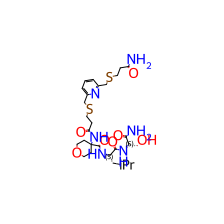 CC(C)C[C@H](NC(=O)C1(NC(=O)CCSCc2cccc(CSCCC(N)=O)n2)CCOCC1)C(=O)N[C@@H](CO)C(N)=O